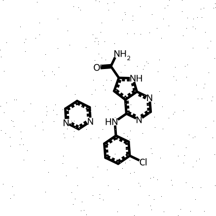 NC(=O)c1cc2c(Nc3cccc(Cl)c3)ncnc2[nH]1.c1cncnc1